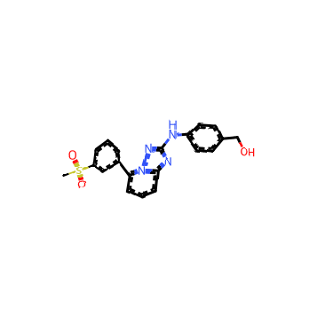 CS(=O)(=O)c1cccc(-c2cccc3nc(Nc4ccc(CO)cc4)nn23)c1